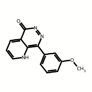 COc1cccc(-c2nnc(=O)c3ccc[nH]c2-3)c1